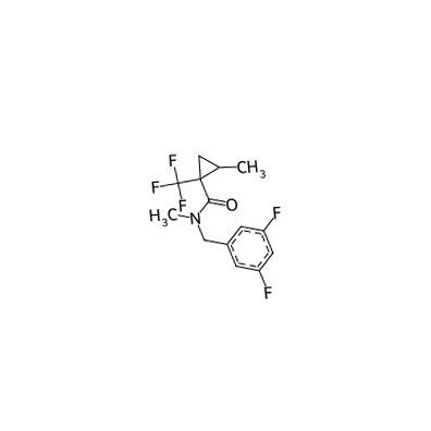 CC1CC1(C(=O)N(C)Cc1cc(F)cc(F)c1)C(F)(F)F